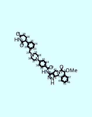 CO[C@@H](C(=O)N1Cc2[nH]nc(NC(=O)c3ccc(N4CCN(Cc5cccc(C6CCC(=O)NC6=O)c5)CC4)cc3)c2C1)c1ccccc1